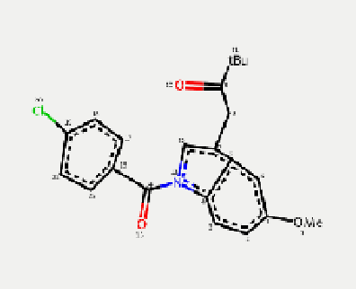 COc1ccc2c(c1)c(CC(=O)C(C)(C)C)cn2C(=O)c1ccc(Cl)cc1